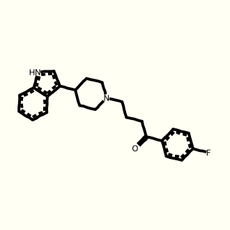 O=C(CCCN1CCC(c2c[nH]c3ccccc23)CC1)c1ccc(F)cc1